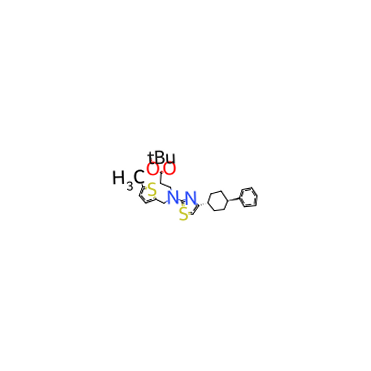 Cc1ccc(CN(CCC(=O)OC(C)(C)C)c2nc([C@H]3CC[C@H](c4ccccc4)CC3)cs2)s1